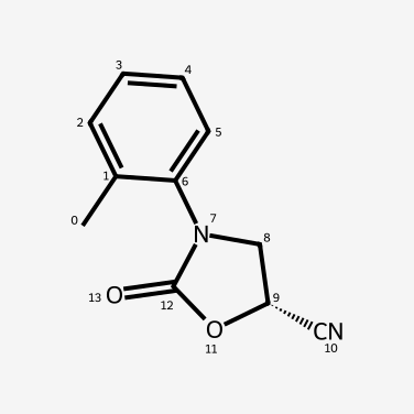 Cc1ccccc1N1C[C@H](C#N)OC1=O